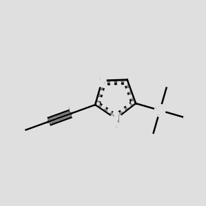 CC#Cc1nc([Si](C)(C)C)cs1